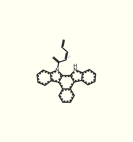 C=C/C=C\C(=C)n1c2ccccc2c2c3ccccc3c3c4ccccc4[nH]c3c21